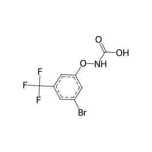 O=C(O)NOc1cc(Br)cc(C(F)(F)F)c1